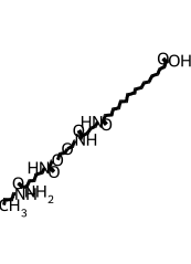 CCCCNC(=O)[C@@H](N)CCCCNC(=O)COCCOCCNC(=O)CCCNC(=O)CCCCCCCCCCCCCCCCC(=O)O